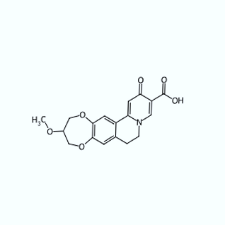 COC1COc2cc3c(cc2OC1)-c1cc(=O)c(C(=O)O)cn1CC3